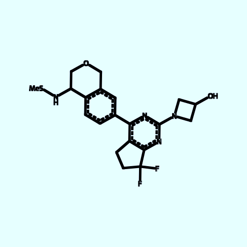 CSNC1COCc2cc(-c3nc(N4CC(O)C4)nc4c3CCC4(F)F)ccc21